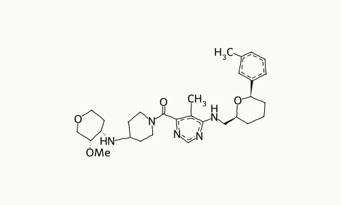 CO[C@@H]1COCC[C@@H]1NC1CCN(C(=O)c2ncnc(NC[C@@H]3CCC[C@H](c4cccc(C)c4)O3)c2C)CC1